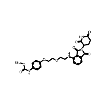 CC(C)(C)OC(=O)Nc1ccc(OCCOCCNc2cccc3c2C(=O)N(C2CCC(=O)NC2=O)C3=O)cc1